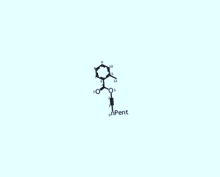 CCCCCC#COC(=O)c1ccccc1C